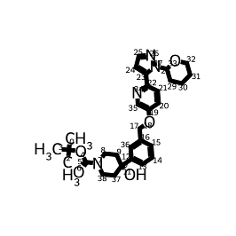 CC(C)(C)OC(=O)N1CCC(O)(c2cccc(COc3ccc(-c4ccnn4C4CCCCO4)nc3)c2)CC1